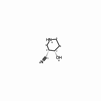 N#C[C@@H]1CNCC[C@@H]1O